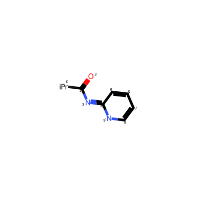 CC(C)C(=O)N=C1C=CC=C[N]1